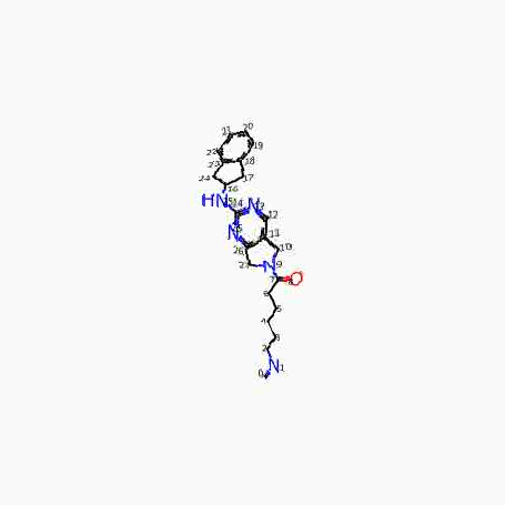 C=NCCCCCC(=O)N1Cc2cnc(NC3Cc4ccccc4C3)nc2C1